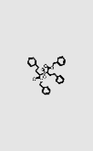 O=C(OCc1ccccc1)C(CCc1ccccc1)S(=O)(=O)C(CCc1ccccc1)C(=O)OCc1ccccc1